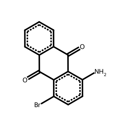 Nc1ccc(Br)c2c1C(=O)c1ccccc1C2=O